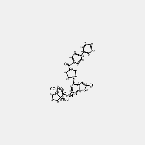 CCc1cc2c(N3CCN(C(=O)c4ccc(-c5ccccc5)cc4)CC3)nc(NC(=O)C3(C(C)(C)C)CCCN3C(=O)O)nc2s1